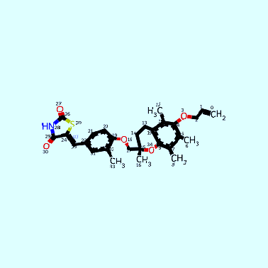 C=CCOc1c(C)c(C)c2c(c1C)CCC(C)(COc1ccc(/C=C3\SC(=O)NC3=O)cc1C)O2